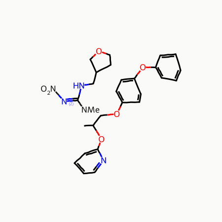 CC(COc1ccc(Oc2ccccc2)cc1)Oc1ccccn1.CN/C(=N/[N+](=O)[O-])NCC1CCOC1